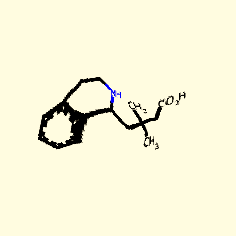 CC(C)(CC(=O)O)CC1NCCc2ccccc21